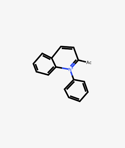 CC(=O)c1ccc2ccccc2[n+]1-c1ccccc1